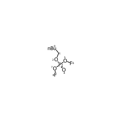 CCCCCOP(=O)(OF)OF